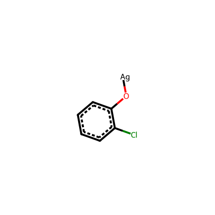 Clc1ccccc1[O][Ag]